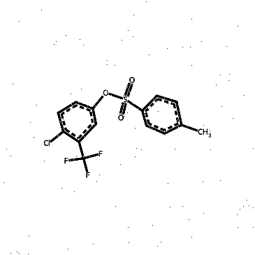 Cc1ccc(S(=O)(=O)Oc2ccc(Cl)c(C(F)(F)F)c2)cc1